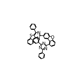 c1ccc(-c2nc(-c3ccccc3)nc(-c3cccc4oc5ccc(-c6nc(-c7ccccc7)c7sc8ccccc8c7n6)cc5c34)n2)cc1